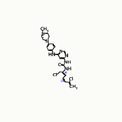 C=C(Cl)/C=C\C=C(/CCl)NC(=O)Nc1cc(Nc2ccc(N3CCN(C)CC3)cc2)ncn1